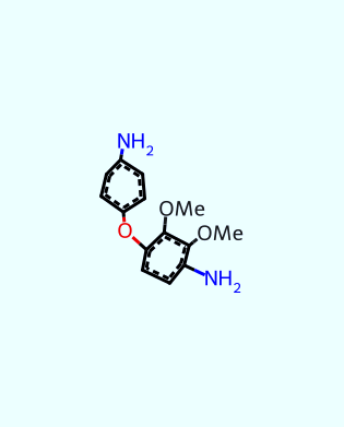 COc1c(N)ccc(Oc2ccc(N)cc2)c1OC